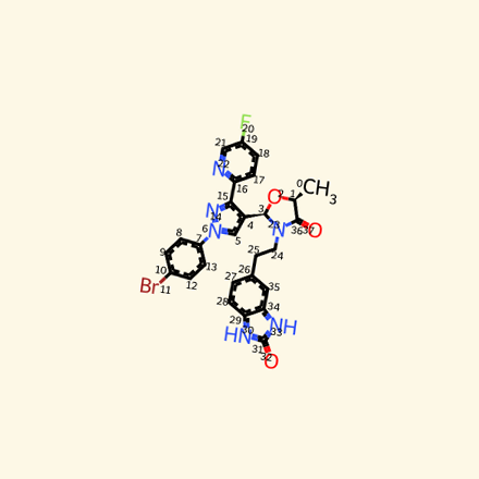 C[C@@H]1O[C@H](c2cn(-c3ccc(Br)cc3)nc2-c2ccc(F)cn2)N(CCc2ccc3[nH]c(=O)[nH]c3c2)C1=O